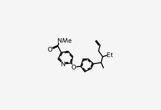 C=CCC(CC)C(C)c1ccc(Oc2ccc(C(=O)NC)cn2)cc1